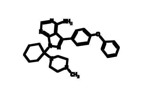 CN1CCN(C2(n3nc(-c4ccc(Oc5ccccc5)cc4)c4c(N)ncnc43)CCCCC2)CC1